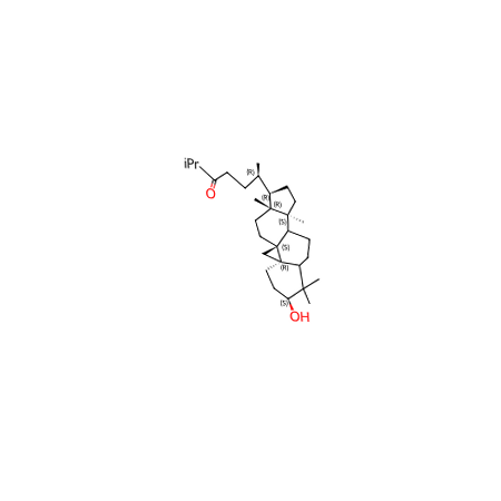 CC(C)C(=O)CC[C@@H](C)[C@H]1CC[C@@]2(C)C3CCC4C(C)(C)[C@@H](O)CC[C@@]45C[C@@]35CC[C@]12C